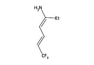 CC/C(N)=C\C=C\C(F)(F)F